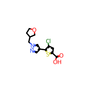 O=C(O)c1cc(Cl)c(-c2cnn(CC3CCOC3)c2)s1